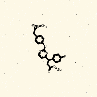 CN1NC1Cc1ccc(Oc2nccc(C(CC(=O)OC(C)(C)C)c3ccc(F)cc3)n2)cc1